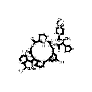 CCn1c(-c2cccnc2[C@H](C)OC)c2c3cc(ccc31)-c1cc(O)cc(c1)C[C@H](NC(=O)C(C1CCCC1)N(C)C(=O)N1CCS(=O)(=NC)CC1)C(=O)N1CCC[C@H](N1)C(=O)OCC(C)(C)C2